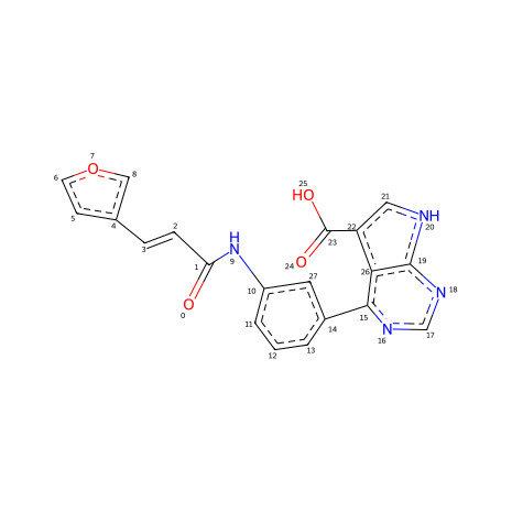 O=C(/C=C/c1ccoc1)Nc1cccc(-c2ncnc3[nH]cc(C(=O)O)c23)c1